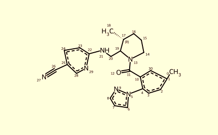 Cc1ccc(-n2cccn2)c(C(=O)N2CCC[C@@H](C)C2CNc2ccc(C#N)cn2)c1